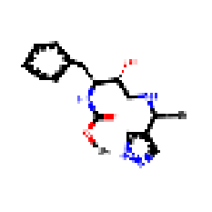 CCC(NC[C@@H](O)[C@H](Cc1ccccc1)NC(=O)OC(C)(C)C)c1cn[nH]c1